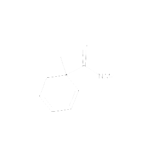 CNC(=O)C1(C)C=CC=CC1